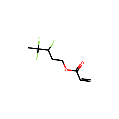 C=CC(=O)OCCC(F)C(C)(F)F